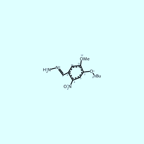 CCCCOc1cc([N+](=O)[O-])c(C=NN)cc1OC